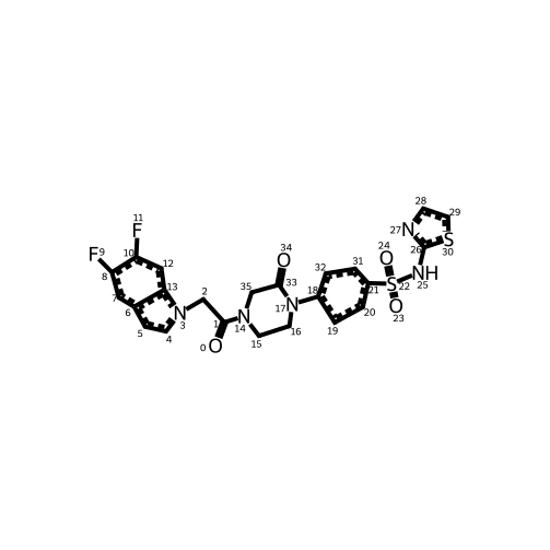 O=C(Cn1ccc2cc(F)c(F)cc21)N1CCN(c2ccc(S(=O)(=O)Nc3nccs3)cc2)C(=O)C1